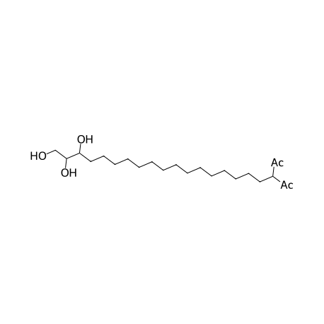 CC(=O)C(CCCCCCCCCCCCCCCC(O)C(O)CO)C(C)=O